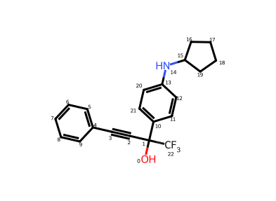 OC(C#Cc1ccccc1)(c1ccc(NC2CCCC2)cc1)C(F)(F)F